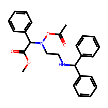 COC(=O)C(c1ccccc1)N(CCNC(c1ccccc1)c1ccccc1)OC(C)=O